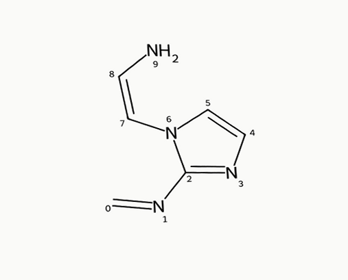 C=Nc1nccn1/C=C\N